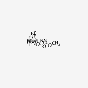 Cc1cccc(-c2cnc(N)c3c2OCC3c2ccc(NC(=O)Nc3cc(C(F)(F)F)ccc3F)cc2)c1